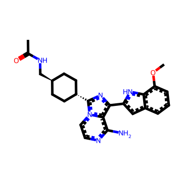 COc1cccc2cc(-c3nc([C@H]4CC[C@H](CNC(C)=O)CC4)n4ccnc(N)c34)[nH]c12